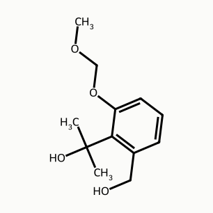 COCOc1cccc(CO)c1C(C)(C)O